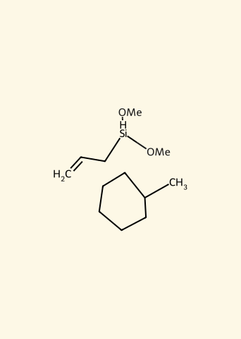 C=CC[SiH](OC)OC.CC1CCCCC1